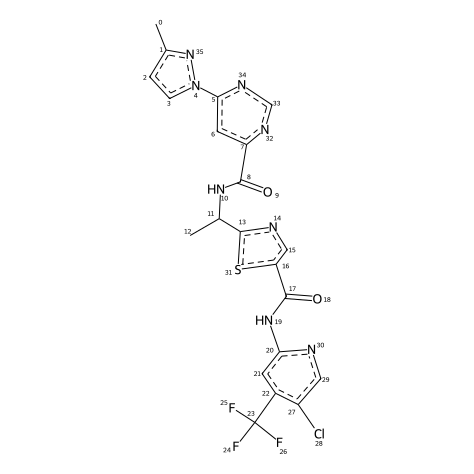 Cc1ccn(-c2cc(C(=O)NC(C)c3ncc(C(=O)Nc4cc(C(F)(F)F)c(Cl)cn4)s3)ncn2)n1